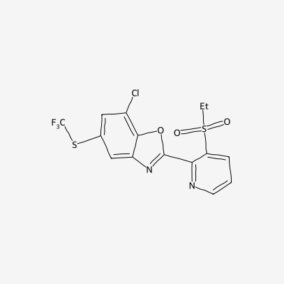 CCS(=O)(=O)c1cccnc1-c1nc2cc(SC(F)(F)F)cc(Cl)c2o1